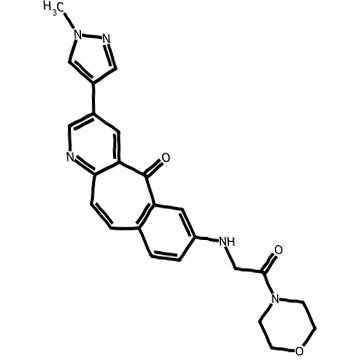 Cn1cc(-c2cnc3ccc4ccc(NCC(=O)N5CCOCC5)cc4c(=O)c3c2)cn1